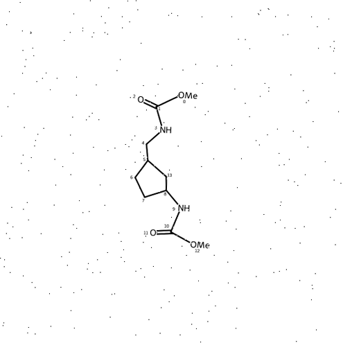 COC(=O)NCC1CCC(NC(=O)OC)C1